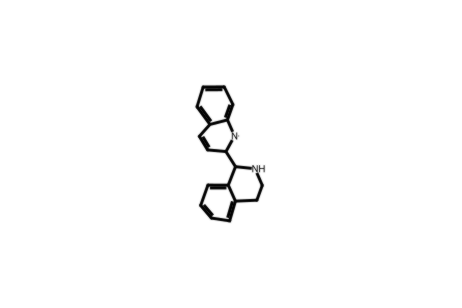 C1=CC(C2NCCc3ccccc32)[N]c2ccccc21